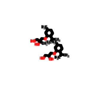 CC1CCC(C(C)C)C(OCC(C)(O)CO)C1.CC1CCC(C(C)C)C(OCC(O)CO)C1